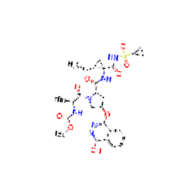 C=CC1C[C@]1(NC(=O)[C@@H]1C[C@@H](Oc2nnc(O)c3ccccc23)CN1C(=O)[C@@H](NC(=O)OC(C)(C)C)C(C)(C)C)C(=O)NS(=O)(=O)C1CC1